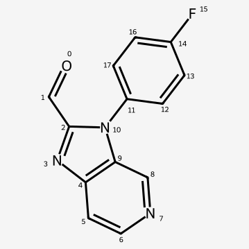 O=Cc1nc2ccncc2n1-c1ccc(F)cc1